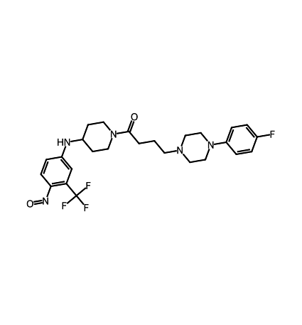 O=Nc1ccc(NC2CCN(C(=O)CCCN3CCN(c4ccc(F)cc4)CC3)CC2)cc1C(F)(F)F